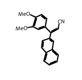 COc1ccc(C(=CC#N)c2ccc3ccccc3c2)cc1OC